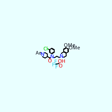 COc1cc2c(cc1OC)CN(CCCN(C(=O)C1CCN(C(C)=O)CC1)c1cccc(Cl)c1)CC2.O=C(O)C(F)(F)F